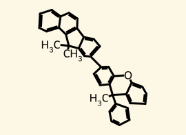 CC1(C)c2cc(-c3ccc4c(c3)Oc3ccccc3C4(C)c3ccccc3)ccc2-c2ccc3ccccc3c21